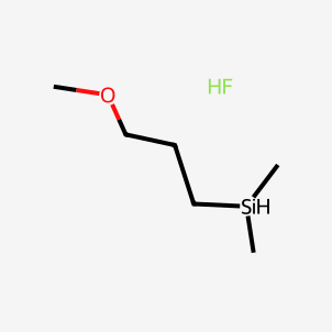 COCCC[SiH](C)C.F